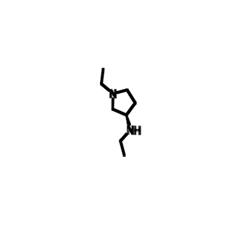 CCN[C@@H]1CCN(CC)C1